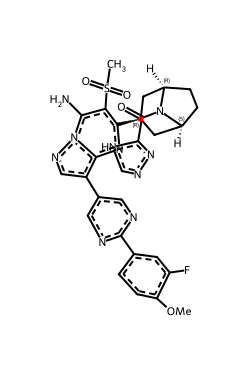 COc1ccc(-c2ncc(-c3cnn4c(N)c(S(C)(=O)=O)c([C@H]5C[C@H]6CC[C@@H](C5)N6C(=O)c5nnc[nH]5)nc34)cn2)cc1F